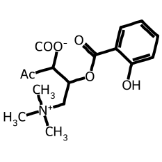 CC(=O)C(C(=O)[O-])C(C[N+](C)(C)C)OC(=O)c1ccccc1O